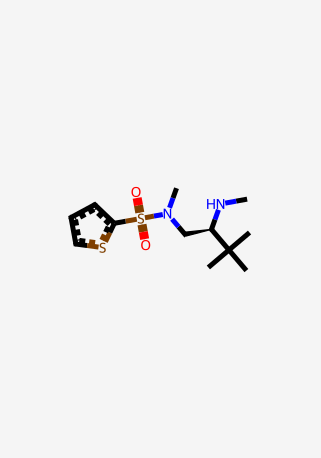 CN[C@H](CN(C)S(=O)(=O)c1cccs1)C(C)(C)C